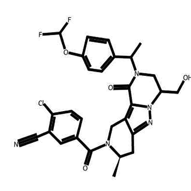 CC(c1ccc(OC(F)F)cc1)N1CC(CO)n2nc3c(c2C1=O)CN(C(=O)c1ccc(Cl)c(C#N)c1)[C@H](C)C3